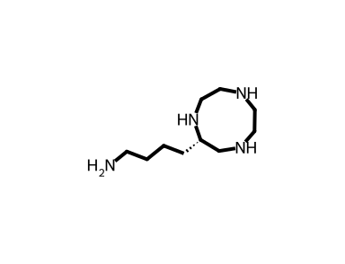 NCCCC[C@H]1CNCCNCCN1